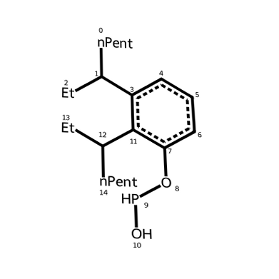 CCCCCC(CC)c1cccc(OPO)c1C(CC)CCCCC